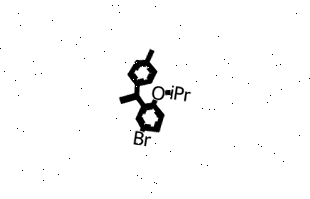 C=C(c1ccc(C)cc1)c1cc(Br)ccc1OC(C)C